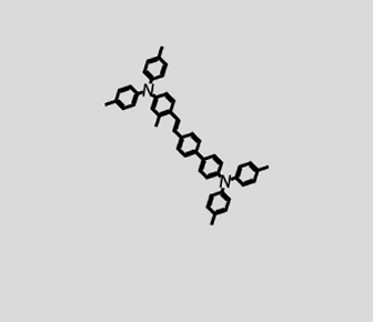 Cc1ccc(N(c2ccc(C)cc2)c2ccc(-c3ccc(/C=C/c4ccc(N(c5ccc(C)cc5)c5ccc(C)cc5)cc4C)cc3)cc2)cc1